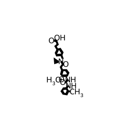 COc1cc(CC(=O)N(Cc2ccc(CCC(=O)O)cc2)C2CC2)ccc1NC(=O)Nc1ccccc1C